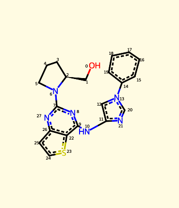 OC[C@@H]1CCCN1c1nc(Nc2cn(-c3ccccc3)cn2)c2sccc2n1